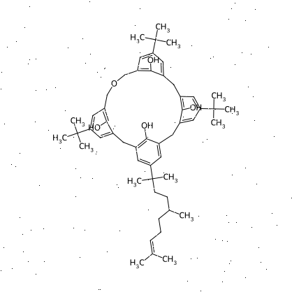 CC(C)=CCCC(C)CCC(C)(C)c1cc2c(O)c(c1)Cc1cc(C(C)(C)C)cc(c1O)Cc1cc(C(C)(C)C)cc(c1O)COCc1cc(C(C)(C)C)cc(c1O)C2